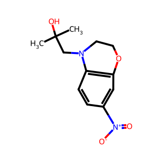 CC(C)(O)CN1CCOc2cc([N+](=O)[O-])ccc21